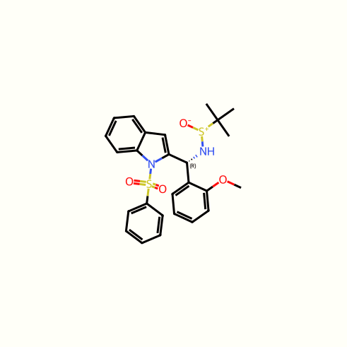 COc1ccccc1[C@@H](N[S+]([O-])C(C)(C)C)c1cc2ccccc2n1S(=O)(=O)c1ccccc1